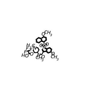 COc1ccc2c(c1)c(C(=O)N(C)C1CCN(C)CC1)cn2S(=O)(=O)c1ccc(OC)c2ccccc12.O=C(O)C(F)(F)F